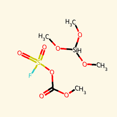 COC(=O)OS(=O)(=O)F.CO[SiH](OC)OC